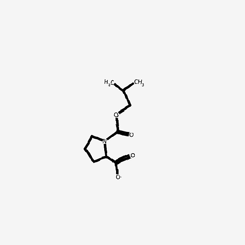 CC(C)COC(=O)N1CCCC1C([O])=O